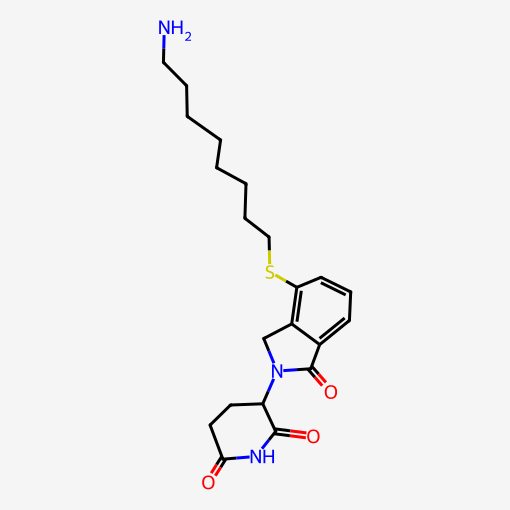 NCCCCCCCCSc1cccc2c1CN(C1CCC(=O)NC1=O)C2=O